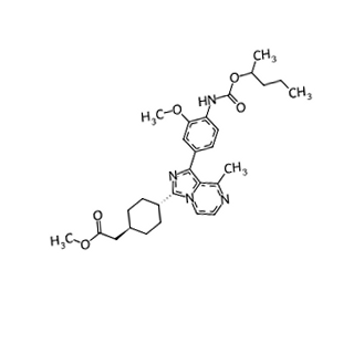 CCCC(C)OC(=O)Nc1ccc(-c2nc([C@H]3CC[C@H](CC(=O)OC)CC3)n3ccnc(C)c23)cc1OC